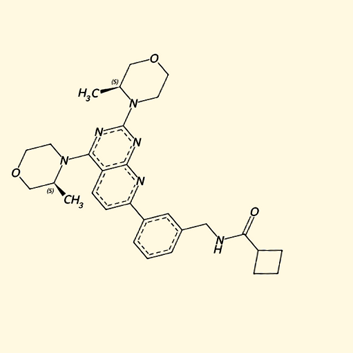 C[C@H]1COCCN1c1nc(N2CCOC[C@@H]2C)c2ccc(-c3cccc(CNC(=O)C4CCC4)c3)nc2n1